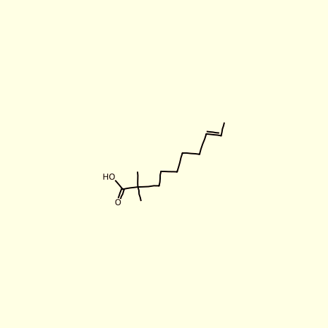 CC=CCCCCCC(C)(C)C(=O)O